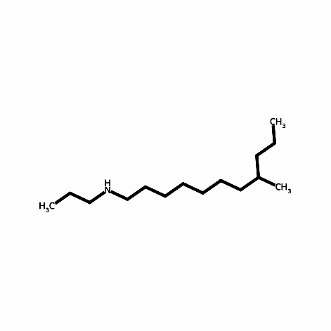 CCCNCCCCCCCC(C)CCC